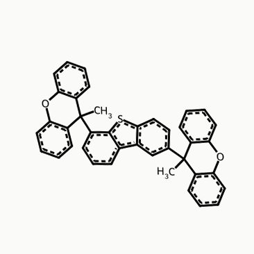 CC1(c2ccc3sc4c(C5(C)c6ccccc6Oc6ccccc65)cccc4c3c2)c2ccccc2Oc2ccccc21